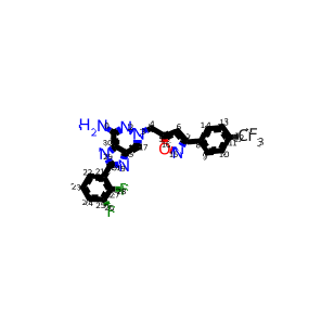 Nc1nn(Cc2cc(-c3ccc(C(F)(F)F)cc3)no2)cc2nc(-c3cccc(F)c3F)nc1-2